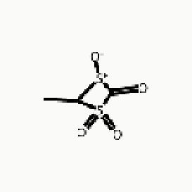 CC1[S+]([O-])C(=O)S1(=O)=O